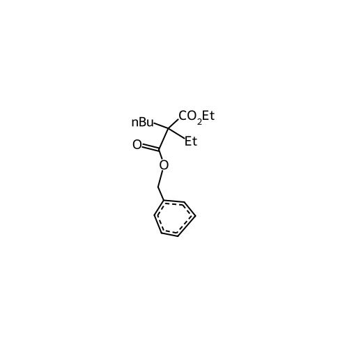 CCCCC(CC)(C(=O)OCC)C(=O)OCc1ccccc1